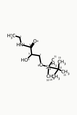 CCNC(=O)C(O)CO[Si](C)(C)C(C)(C)C